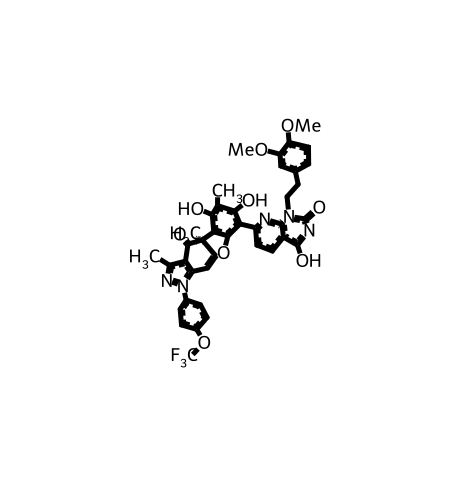 COc1ccc(CCn2c(=O)nc(O)c3ccc(-c4c(O)c(C)c(O)c5c4OC4=Cc6c(c(C)nn6-c6ccc(OC(F)(F)F)cc6)C(=O)[C@@]45C)nc32)cc1OC